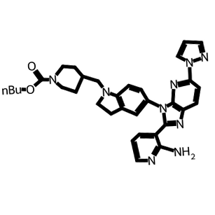 CCCCOC(=O)N1CCC(CN2CCc3cc(-n4c(-c5cccnc5N)nc5ccc(-n6cccn6)nc54)ccc32)CC1